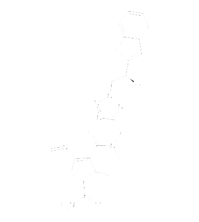 C=Nc1sc(C(N)=O)c(C)c1C(=O)N(C)Cc1nnn(C[C@H](O)c2cc3ccccc3s2)n1